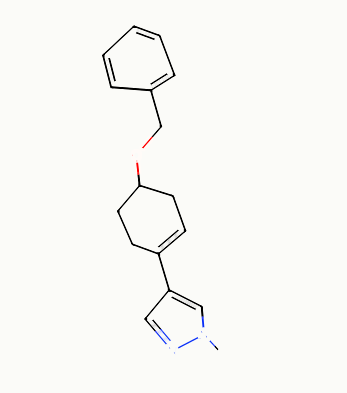 Cn1cc(C2=CCC(OCc3ccccc3)CC2)cn1